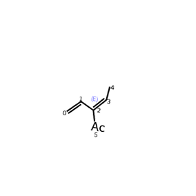 C=C/C(=C\C)C(C)=O